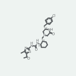 CC(=O)c1sc(NC(=O)N[C@@H]2CCCC[C@H]2CN2CC(=O)N[C@@H](Cc3ccc(Cl)cc3)C2)nc1C